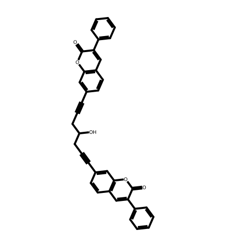 O=c1oc2cc(C#CCC(O)CC#Cc3ccc4cc(-c5ccccc5)c(=O)oc4c3)ccc2cc1-c1ccccc1